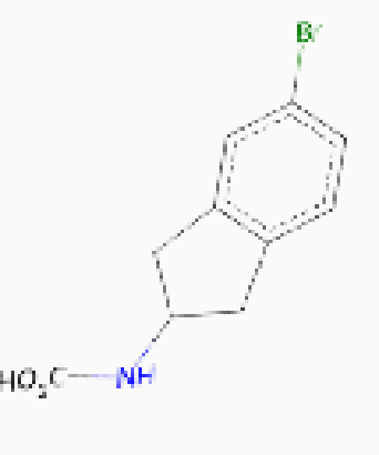 O=C(O)NC1Cc2ccc(Br)cc2C1